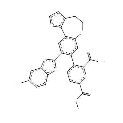 CCCNC(=O)c1ccc(-c2cc3c(cc2-c2nc4cc(C#N)ccc4[nH]2)-c2sccc2CCO3)c(C(=O)OC)n1